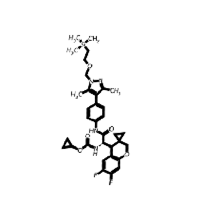 Cc1nn(COCC[Si](C)(C)C)c(C)c1-c1ccc(NC(=O)[C@@H](NC(=O)OC2CC2)C2c3cc(F)c(F)cc3OCC23CC3)cc1